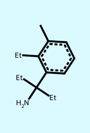 CCc1c(C)cccc1C(N)(CC)CC